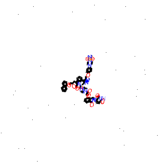 Cc1nn(C)c(COc2ccc(N3CCN(S(=O)(=O)N(C)C)CC3)cc2)c1-c1cccc2c(CCCOc3cccc4ccccc34)c(C(=O)O)n(CCN3CCN(C(=O)COc4cccc5c4CN(C4CCC(=O)NC4=O)C5=O)CC3)c12